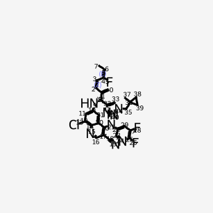 C=C(/C=C\C(F)=C/C)[C@H](Nc1cc(Cl)c2ncc(C#N)c(Nc3cnc(F)c(F)c3)c2c1)c1cn(CC2(C)CC2)nn1